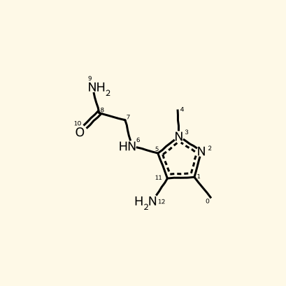 Cc1nn(C)c(NCC(N)=O)c1N